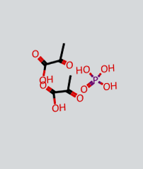 CC(=O)C(=O)O.CC(=O)C(=O)O.O=P(O)(O)O